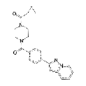 O=C(c1ccc(-c2cc3ccccn3n2)cc1)N1CCN(C(=O)C2CC2)CC1